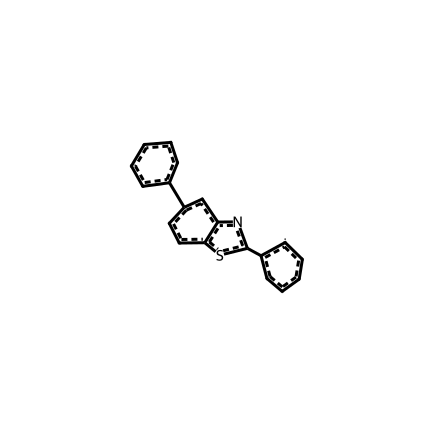 [c]1ccccc1-c1nc2cc(-c3ccccc3)ccc2s1